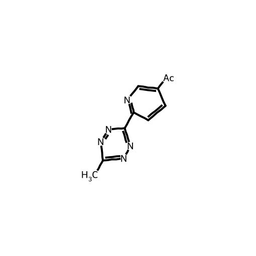 CC(=O)c1ccc(-c2nnc(C)nn2)nc1